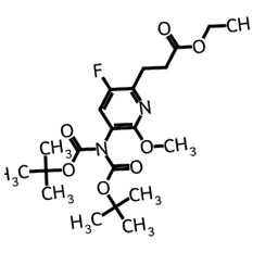 CCOC(=O)CCc1nc(OC)c(N(C(=O)OC(C)(C)C)C(=O)OC(C)(C)C)cc1F